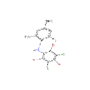 CN(c1c([N+](=O)[O-])cc([N+](=O)[O-])cc1C(F)(F)F)c1c(Br)c(Cl)c(Br)c(Cl)c1Br